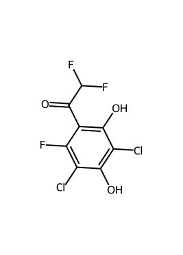 O=C(c1c(O)c(Cl)c(O)c(Cl)c1F)C(F)F